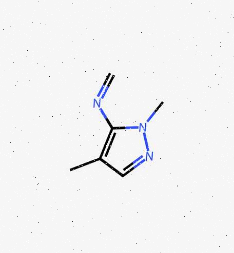 C=Nc1c(C)cnn1C